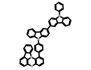 c1ccc(-n2c3ccccc3c3cc(-c4ccc5c(c4)c4ccccc4n5-c4ccc(-c5cccc6c5-n5c7ccccc7c7cccc(c75)O6)cc4)ccc32)cc1